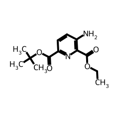 CCOC(=O)c1nc(C(=O)OC(C)(C)C)ccc1N